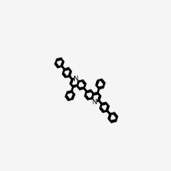 c1ccc(-c2ccc(-c3cc(-c4ccccc4)c4cc(-c5ccc6nc(-c7ccc(-c8ccccc8)cc7)cc(-c7ccccc7)c6c5)ccc4n3)cc2)cc1